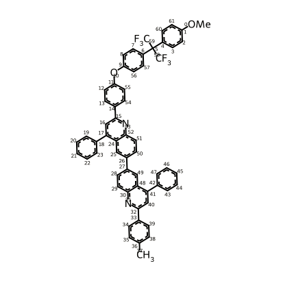 COc1ccc(C(c2ccc(Oc3ccc(-c4cc(-c5ccccc5)c5cc(-c6ccc7nc(-c8ccc(C)cc8)cc(-c8ccccc8)c7c6)ccc5n4)cc3)cc2)(C(F)(F)F)C(F)(F)F)cc1